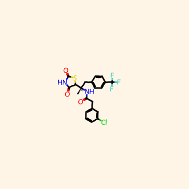 C[C@@](Cc1ccc(C(F)(F)F)cc1)(NC(=O)Cc1cccc(Cl)c1)C1SC(=O)NC1=O